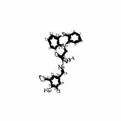 O=C(CN1c2ccccc2Sc2ccccc21)NN=Cc1cc(Cl)c(O)c(Cl)c1